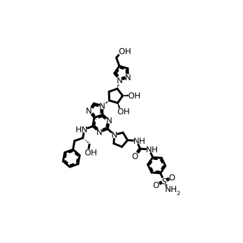 NS(=O)(=O)c1ccc(NC(=O)NC2CCN(c3nc(N[C@H](CO)Cc4ccccc4)c4ncn([C@@H]5C[C@H](n6cc(CO)cn6)[C@@H](O)[C@H]5O)c4n3)C2)cc1